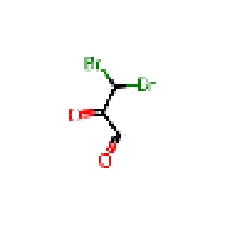 O=[C]C(=O)C(Br)Br